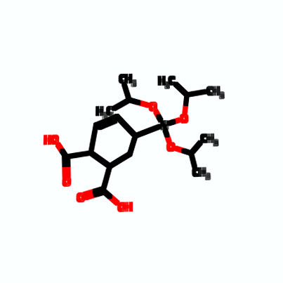 CC(C)O[Si](OC(C)C)(OC(C)C)C1C=CC(C(=O)O)C(C(=O)O)C1